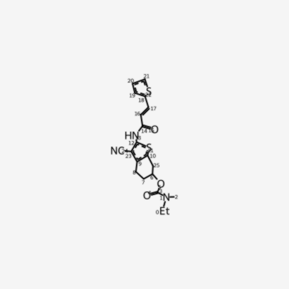 CCN(C)C(=O)OC1CCc2c(sc(NC(=O)C=Cc3cccs3)c2C#N)C1